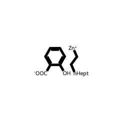 CCCCCCCC[CH2][Zn+].O=C([O-])c1ccccc1O